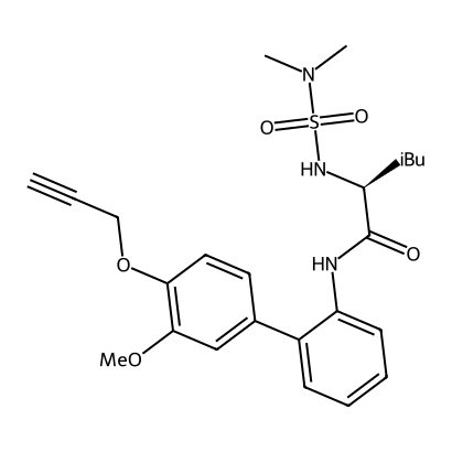 C#CCOc1ccc(-c2ccccc2NC(=O)[C@@H](NS(=O)(=O)N(C)C)C(C)CC)cc1OC